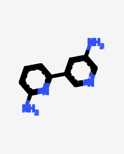 Nc1cncc(-c2cccc(N)n2)c1